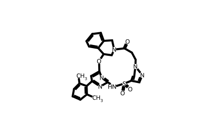 Cc1cccc(C)c1-c1cc2nc(n1)NS(=O)(=O)c1cnn(c1)CCC(=O)N1Cc3ccccc3C(C1)O2